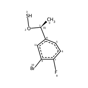 C[C@H](OS)c1ccc(F)c(Br)c1